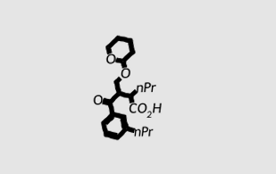 CCCc1cccc(C(=O)C(COC2CCCCO2)C(CCC)C(=O)O)c1